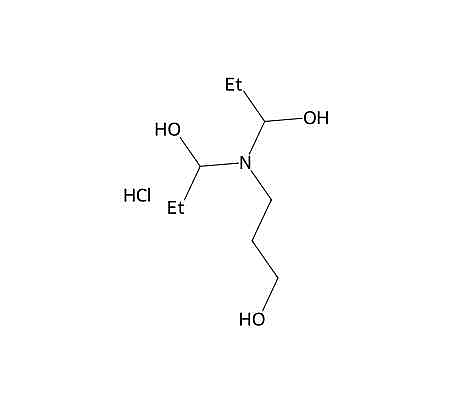 CCC(O)N(CCCO)C(O)CC.Cl